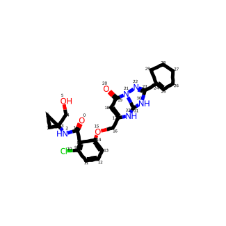 O=C(NC1(CO)CC1)c1c(Cl)cccc1OCC1=CC(=O)N2N=C(C3=CCCCC3)NC2N1